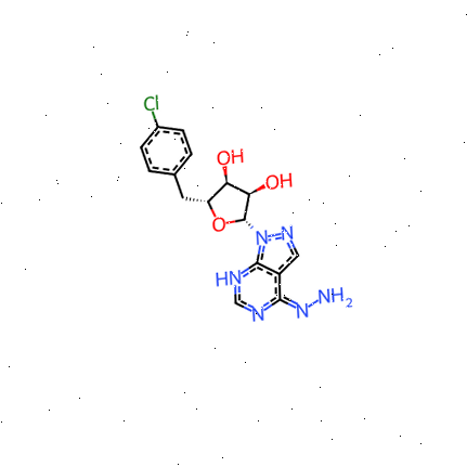 N/N=c1/nc[nH]c2c1cnn2[C@@H]1O[C@H](Cc2ccc(Cl)cc2)[C@@H](O)[C@H]1O